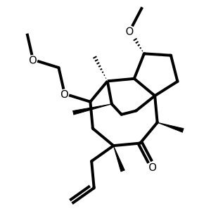 C=CC[C@]1(C)CC(OCOC)[C@@]2(C)C3[C@H](OC)CCC3(CC[C@H]2C)[C@@H](C)C1=O